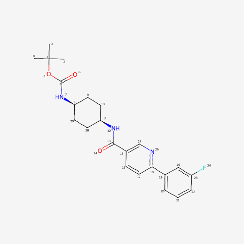 CC(C)(C)OC(=O)N[C@H]1CC[C@@H](NC(=O)c2ccc(-c3cccc(F)c3)nc2)CC1